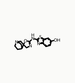 Oc1ccc2nc(NC3=NCC4(CN5CCC4CC5)O3)sc2c1